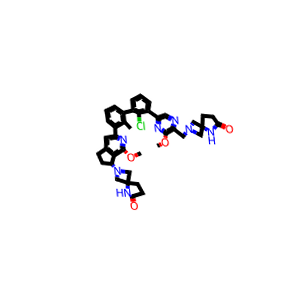 COc1nc(-c2cccc(-c3cccc(-c4cc5c(c(OC)n4)C(N4CC6(CCC(=O)N6)C4)CC5)c3C)c2Cl)cnc1CN1CC2(CCC(=O)N2)C1